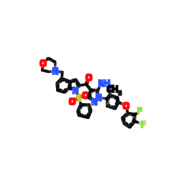 Cc1cc(Oc2cccc(F)c2F)ccc1-n1ncc(C(=O)c2cc3c(CN4CCOCC4)cccc3n2S(=O)(=O)c2ccccc2)c1N